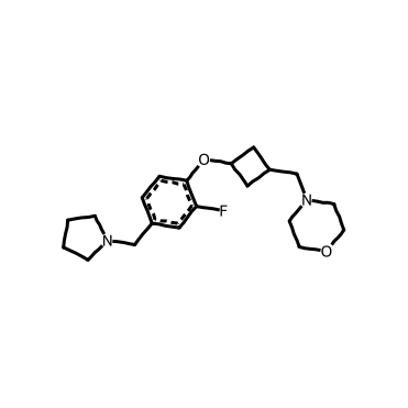 Fc1cc(CN2CCCC2)ccc1OC1CC(CN2CCOCC2)C1